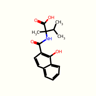 CC(C)C(C)(NC(=O)c1ccc2ccccc2c1O)C(=O)O